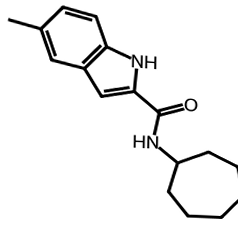 Cc1ccc2[nH]c(C(=O)NC3CCCCCC3)cc2c1